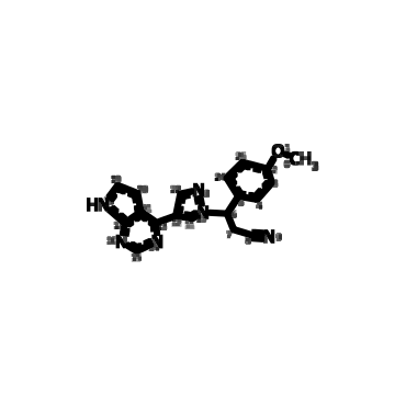 COc1ccc(C(CC#N)n2cc(-c3ncnc4[nH]ccc34)cn2)cc1